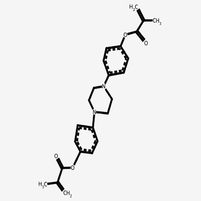 C=C(C)C(=O)Oc1ccc(N2CCN(c3ccc(OC(=O)C(=C)C)cc3)CC2)cc1